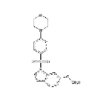 O=C(O)Oc1ccc2ccn(S(=O)(=O)c3ccc(N4CCOCC4)cc3)c2c1